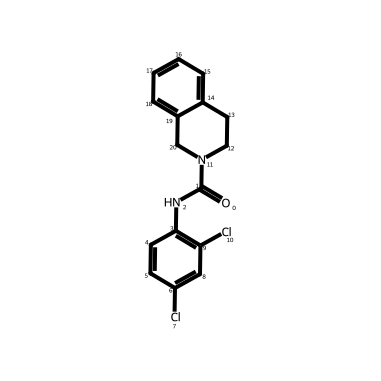 O=C(Nc1ccc(Cl)cc1Cl)N1CCc2ccccc2C1